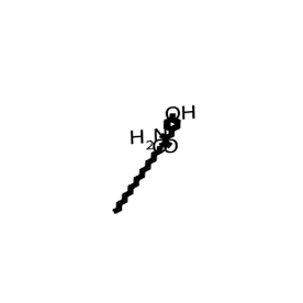 CCCCCCCCCCCCCCCCOC(=O)C(N)Cc1ccc(O)cc1